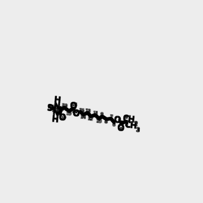 C=C(C)C(=O)OCCCCCCCCCCOC(=O)CCC1NC(=S)NC1=O